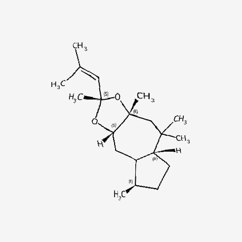 CC(C)=C[C@@]1(C)O[C@H]2CC3[C@H](C)CC[C@H]3C(C)(C)C[C@@]2(C)O1